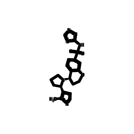 Cn1nccc1[C@H]1CCCN1[C@H]1CCOc2cc(S(=O)(=O)Nc3ncns3)ccc21